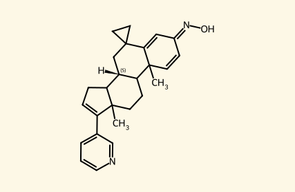 CC12C=CC(=NO)C=C1C1(CC1)C[C@@H]1C2CCC2(C)C(c3cccnc3)=CCC12